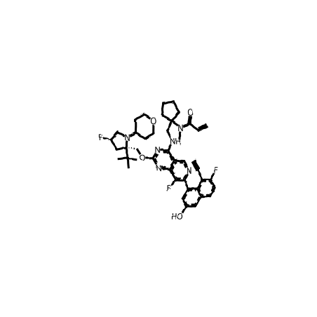 C#Cc1c(F)ccc2cc(O)cc(-c3ncc4c(NCC5(N(C)C(=O)C=C)CCCC5)nc(OC[C@]5(C(C)(C)C)C[C@@H](F)CN5C5CCOCC5)nc4c3F)c12